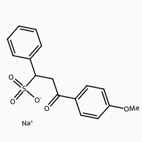 COc1ccc(C(=O)CC(c2ccccc2)S(=O)(=O)[O-])cc1.[Na+]